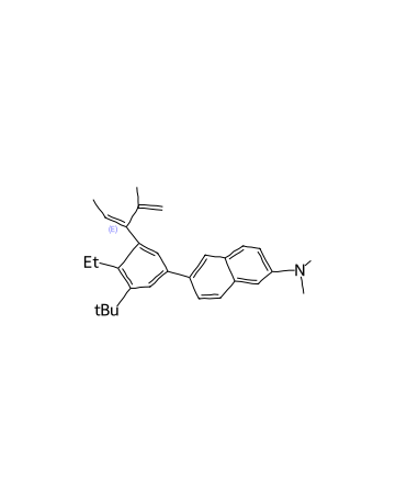 C=C(C)/C(=C\C)c1cc(-c2ccc3cc(N(C)C)ccc3c2)cc(C(C)(C)C)c1CC